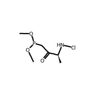 COP(CC(=O)[C@H](C)NCl)OC